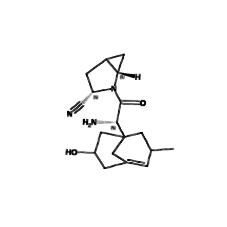 CC1C=C2CC(O)CC([C@H](N)C(=O)N3[C@H](C#N)CC4C[C@@H]43)(C2)C1